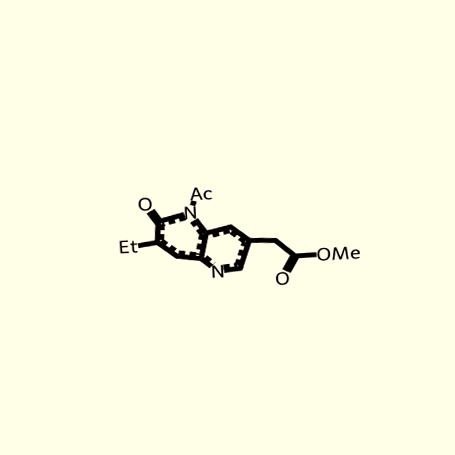 CCc1cc2ncc(CC(=O)OC)cc2n(C(C)=O)c1=O